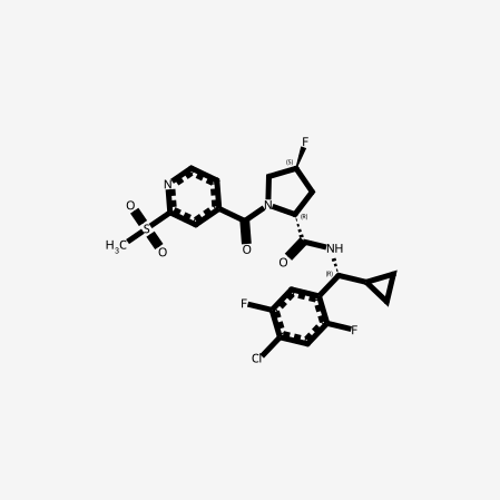 CS(=O)(=O)c1cc(C(=O)N2C[C@@H](F)C[C@@H]2C(=O)N[C@@H](c2cc(F)c(Cl)cc2F)C2CC2)ccn1